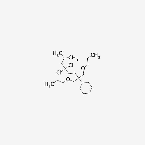 CCCOCC(CCC(Cl)(Cl)CC(C)C)(COCCC)C1CCCCC1